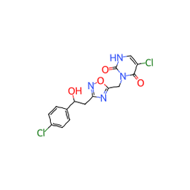 O=c1[nH]cc(Cl)c(=O)n1Cc1nc(CC(O)c2ccc(Cl)cc2)no1